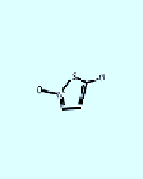 [O-][n+]1ccc(Cl)s1